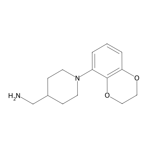 NCC1CCN(c2cccc3c2OCCO3)CC1